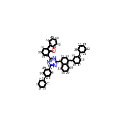 c1ccc(-c2ccc(-c3nc(-c4ccc(-c5cccc(-c6ccccc6)c5)c5ccccc45)nc(-c4cccc5c4oc4ccccc45)n3)cc2)cc1